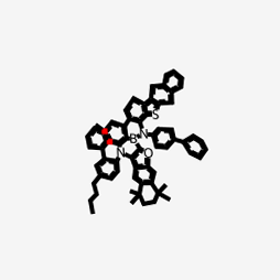 CCCCc1ccc(N2c3cc(C)cc4c3B(c3oc5cc6c(cc5c32)C(C)(C)CCC6(C)C)N(c2ccc(-c3ccccc3)cc2)c2c-4ccc3c2sc2cc4ccccc4cc23)c(-c2ccccc2)c1